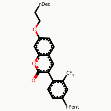 [CH2]CCCCCCCCCCCOc1ccc2cc(-c3ccc(CCCCC)cc3C(F)(F)F)c(=O)oc2c1